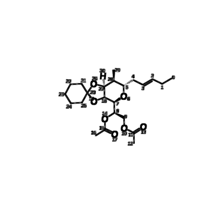 CC/C=C/C[C@@H]1O[C@@H]([C@@H](COC(C)=O)OC(C)=O)C2OC3(CCCCC3)O[C@H]2[C@H]1C